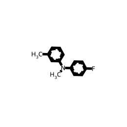 Cc1cccc(N(C)c2ccc(F)cc2)c1